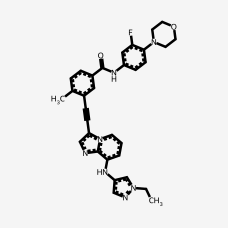 CCn1cc(Nc2cccn3c(C#Cc4cc(C(=O)Nc5ccc(N6CCOCC6)c(F)c5)ccc4C)cnc23)cn1